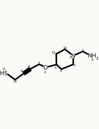 NCN1CCC(OCC#CCS)CC1